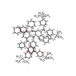 CC(C)(C)c1ccc(N(c2ccc(C(C)(C)C)cc2)c2ccc3c(c2)N(c2ccccc2-c2ccccc2)c2cc(-c4ccccc4)cc4c2B3c2c(cc(N(c3ccc(C(C)(C)C)cc3)c3ccc(C(C)(C)C)cc3)c3c2sc2ccccc23)N4c2ccccc2-c2ccccc2)cc1